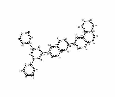 c1cncc(-c2cc(-c3cccnc3)cc(-c3ccc4cc(-c5ccc6ccc7cccnc7c6n5)ccc4c3)c2)c1